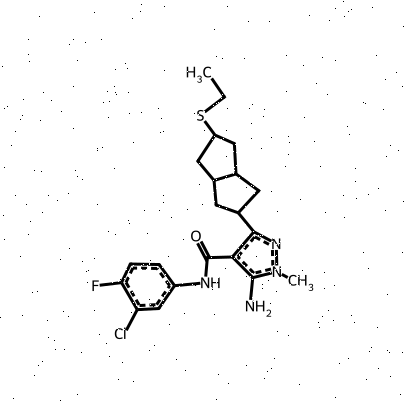 CCSC1CC2CC(c3nn(C)c(N)c3C(=O)Nc3ccc(F)c(Cl)c3)CC2C1